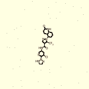 O=C(Nc1cnc(N2N=CCN2)c(Cl)c1)c1cnn(-c2cccc3[nH]c(=O)ccc23)c1C(F)(F)F